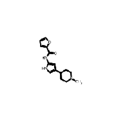 CN1CCC(c2c[nH]c(NC(=O)c3ccco3)c2)CC1